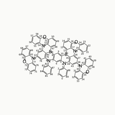 c1ccc(N2c3cc4c(cc3B3c5cccc6c5N(c5ccccc5O6)c5cc(N6c7ccccc7Oc7ccccc76)cc2c53)B2c3cccc5c3N(c3ccccc3O5)c3cc(N5c6ccccc6Oc6ccccc65)cc(c32)N4c2ccccc2)cc1